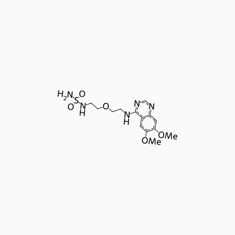 COc1cc2ncnc(NCCOCCNS(N)(=O)=O)c2cc1OC